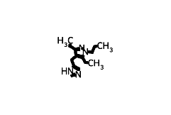 CCCn1nc(CC)c(Cc2cnc[nH]2)c1CC